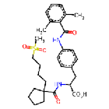 Cc1cccc(C)c1C(=O)Nc1ccc(C[C@H](NC(=O)C2(CCCCS(C)(=O)=O)CCCC2)C(=O)O)cc1